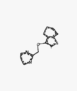 [c]1sc2ccccc2c1OCc1ncccn1